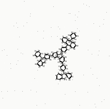 Fc1ccccc1N(c1ccccc1)c1ccc(-c2ccc3c(c2)c2cc(-c4ccc(N(c5ccccc5)c5ccccc5F)cc4)ccc2n3-c2ccc(-c3c4ccccc4c(-c4ccccc4)c4ccccc34)cc2)cc1